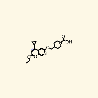 CCOC(=O)/C=C(\c1ccnc(OCC2CCN(C(=O)O)CC2)c1)C1CC1